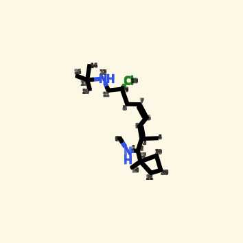 CNC(/C(C)=C/C=C\CC(Cl)CNC(C)(C)C)C1(C)CCC1